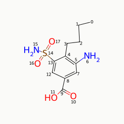 CCCCc1c(N)cc(C(=O)O)cc1S(N)(=O)=O